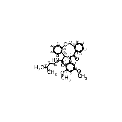 COc1cc(OC)cc(N2C(=O)c3ccccc3COc3ccccc3C2C(=O)NCCC(C)C)c1